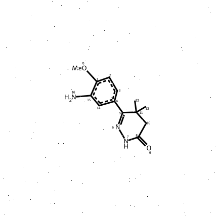 COc1ccc(C2=NNC(=O)CC2(C)C)cc1N